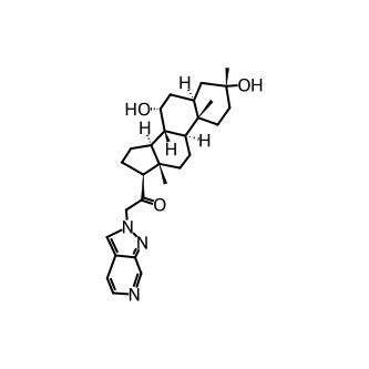 C[C@@]1(O)CC[C@@]2(C)[C@@H](C[C@@H](O)[C@@H]3[C@@H]2CC[C@]2(C)[C@@H](C(=O)Cn4cc5ccncc5n4)CC[C@@H]32)C1